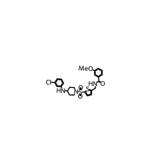 COc1cccc(C(=O)NCc2ccc(S(=O)(=O)N3CCC(Nc4cccc(Cl)c4)CC3)s2)c1